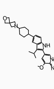 COc1cc(-c2[nH]c3ccc(C4CCC(N5CC6(COC6)C5)CC4)cc3c2C(C)C)cn2ncnc12